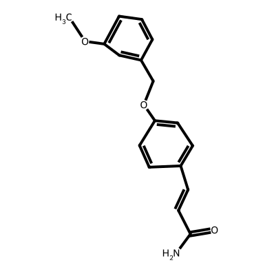 COc1cccc(COc2ccc(C=CC(N)=O)cc2)c1